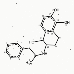 CC(Cc1ccccc1)NC1CCc2c(ccc(O)c2O)C1O